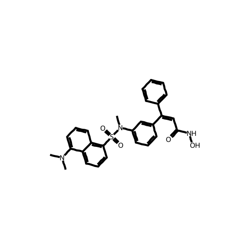 CN(C)c1cccc2c(S(=O)(=O)N(C)c3cccc(/C(=C\C(=O)NO)c4ccccc4)c3)cccc12